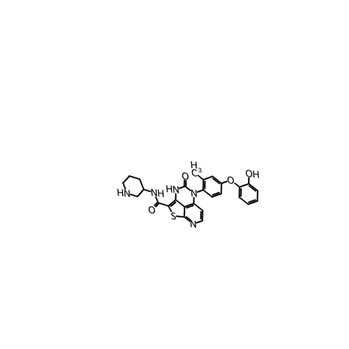 Cc1cc(Oc2ccccc2O)ccc1N1C(=O)Nc2c(C(=O)NC3CCCNC3)sc3nccc1c23